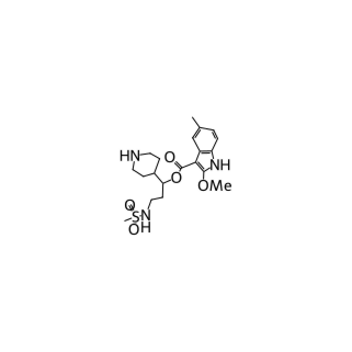 COc1[nH]c2ccc(C)cc2c1C(=O)OC(CCNS(C)(=O)=O)C1CCNCC1